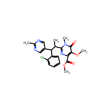 COC(=O)c1nc(C(C)C(c2cnc(C)nc2)c2ccccc2Cl)n(C)c(=O)c1OC